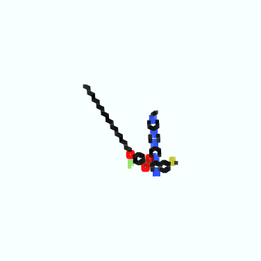 CCCCCCCCCCCCCCCCCCCCOc1ccc(S(=O)(=O)c2cnc3ccc(SC)cc3c2N2CCC(N3CCN(C4CCN(CC)CC4)CC3)CC2)cc1F